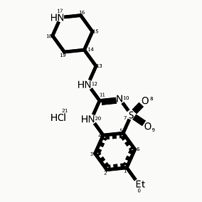 CCc1ccc2c(c1)S(=O)(=O)N=C(NCC1CCNCC1)N2.Cl